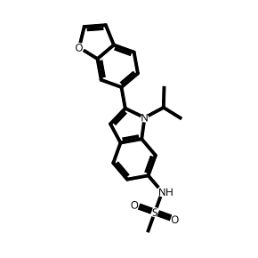 CC(C)n1c(-c2ccc3ccoc3c2)cc2ccc(NS(C)(=O)=O)cc21